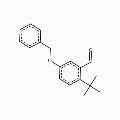 CC(C)(C)c1ccc(OCc2ccccc2)cc1C=O